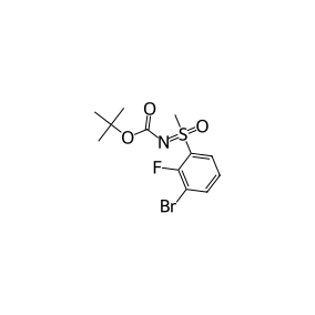 CC(C)(C)OC(=O)N=S(C)(=O)c1cccc(Br)c1F